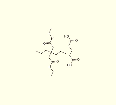 CCCC(CCC)(CC(=O)OCC)CC(=O)OCC.O=C(O)CCCC(=O)O